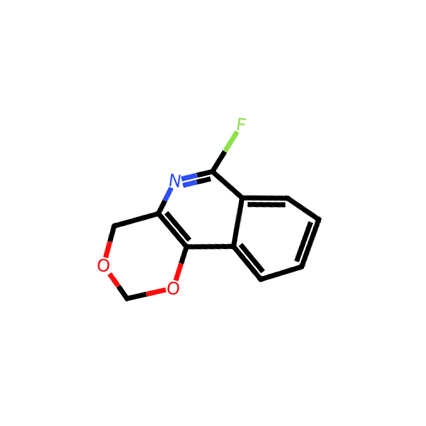 Fc1nc2c(c3ccccc13)OCOC2